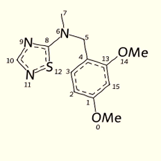 COc1ccc(CN(C)c2ncns2)c(OC)c1